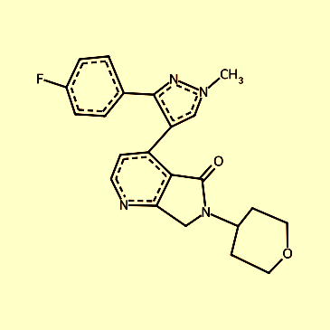 Cn1cc(-c2ccnc3c2C(=O)N(C2CCOCC2)C3)c(-c2ccc(F)cc2)n1